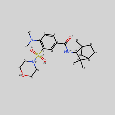 CN(C)c1ccc(C(=O)NC2C3(C)CCC(C3)C2(C)C)cc1S(=O)(=O)N1CCOCC1